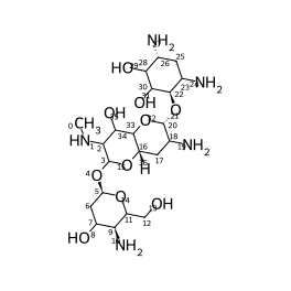 CNC1C(O[C@@H]2CC(O)[C@H](N)C(CO)O2)O[C@H]2CC(N)[C@@H](O[C@@H]3C(N)C[C@@H](N)C(O)C3O)OC2C1O